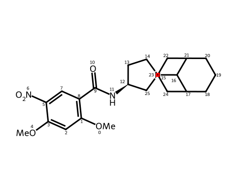 COc1cc(OC)c([N+](=O)[O-])cc1C(=O)N[C@H]1CCN(C2C3CCCC2CCC3)C1